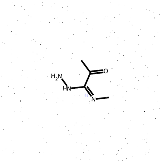 C/N=C(/NN)C(C)=O